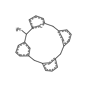 CC(C)C1c2cccc(c2)Cc2cccc(c2)Cc2cccc(c2)Cc2cccc1c2